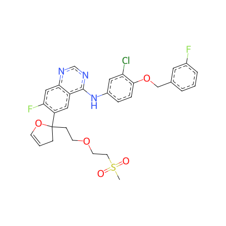 CS(=O)(=O)CCOCCC1(c2cc3c(Nc4ccc(OCc5cccc(F)c5)c(Cl)c4)ncnc3cc2F)CC=CO1